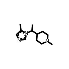 Cc1cncn1C(C)C1CCN(C)CC1